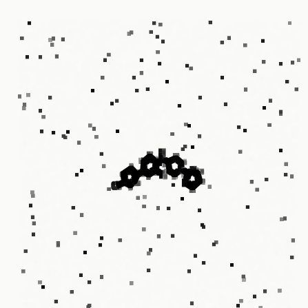 Fc1cc(-c2ccc(Cl)cc2)ccc1NC1CCN(c2ncccn2)CC1